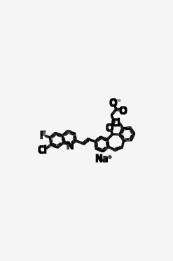 O=C([O-])CCOC1c2cc(/C=C/c3ccc4cc(F)c(Cl)cc4n3)ccc2C=Cc2cccc(Cl)c21.[Na+]